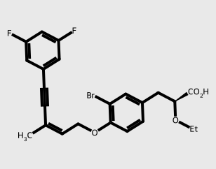 CCO[C@@H](Cc1ccc(OC/C=C(/C)C#Cc2cc(F)cc(F)c2)c(Br)c1)C(=O)O